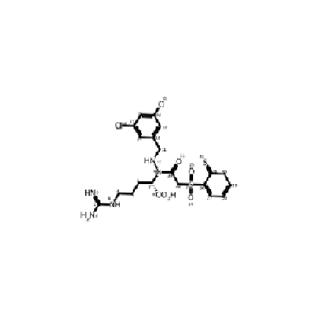 N=C(N)NCCC[C@@H](C(=O)O)N(NCc1cc(Cl)cc(Cl)c1)C(=O)CS(=O)(=O)C1=CC=CCC1=S